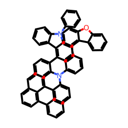 c1ccc(-c2cccc3cccc(-c4ccccc4N(c4cccc(-c5cccc6oc7ccccc7c56)c4)c4ccccc4-c4cccc5c4c4ccccc4n5-c4ccccc4)c23)cc1